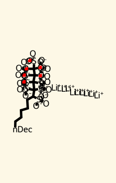 CCCCCCCCCCCCCCCC(C(C(C(C(S(=O)(=O)[O-])(S(=O)(=O)[O-])S(=O)(=O)[O-])(S(=O)(=O)[O-])S(=O)(=O)[O-])(S(=O)(=O)[O-])S(=O)(=O)[O-])(S(=O)(=O)[O-])S(=O)(=O)[O-])S(=O)(=O)[O-].[Li+].[Li+].[Li+].[Li+].[Li+].[Li+].[Li+].[Li+].[Li+].[Li+]